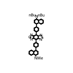 CCCCN(CCCC)c1ccc(-c2ccc(-c3c4c(c(-c5ccc(-c6ccc(NC)c7ccccc67)cc5)c5nonc35)N=S=N4)cc2)c2ccccc12